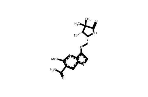 CC[C@H]1[C@@H](COc2csc3cc(C(N)=O)c(OC)nc23)NC(=O)C1(C)C